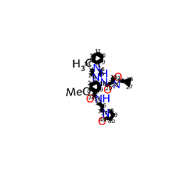 COc1cc(N2CCN(c3ccccc3C)CC2)c(NC(=O)c2coc(C3CC3)n2)cc1C(=O)NCCCN1CCCC1=O